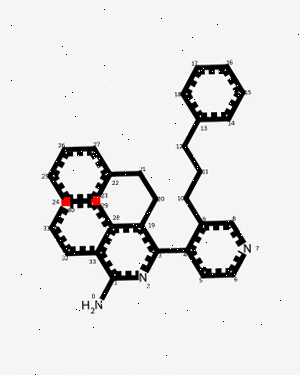 Nc1nc(-c2ccncc2CCCc2ccccc2)c(CCc2ccccc2)c2cnccc12